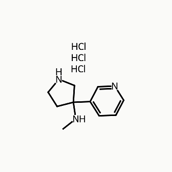 CNC1(c2cccnc2)CCNC1.Cl.Cl.Cl